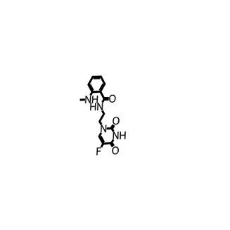 CNc1ccccc1C(=O)NCCn1cc(F)c(=O)[nH]c1=O